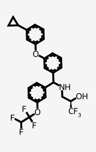 O[C@H](CNC(c1cccc(Oc2cccc(C3CC3)c2)c1)c1cccc(OC(F)(F)C(F)F)c1)C(F)(F)F